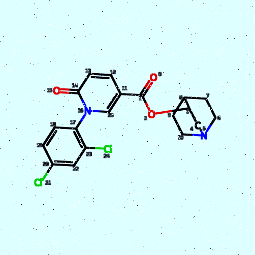 O=C(OC1CN2CCC1CC2)c1ccc(=O)n(-c2ccc(Cl)cc2Cl)c1